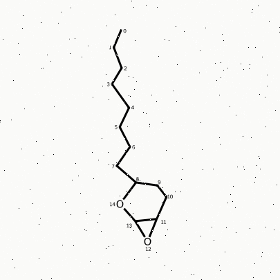 CCCCCCCCC1CCC2OC2O1